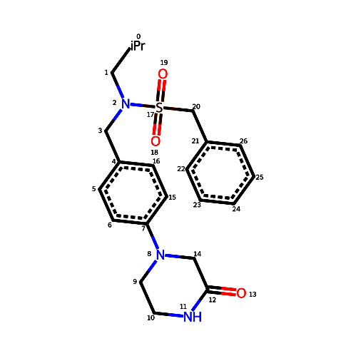 CC(C)CN(Cc1ccc(N2CCNC(=O)C2)cc1)S(=O)(=O)Cc1ccccc1